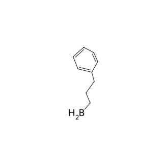 BCCCc1ccccc1